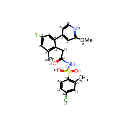 COc1cc(-c2cc(F)cc(C(C)C)c2CC(=O)NS(=O)(=O)c2ccc(Cl)cc2C)ccn1